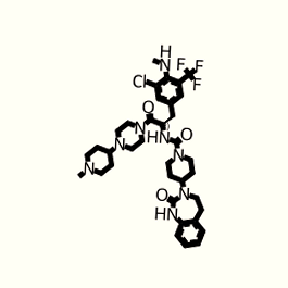 CNc1c(Cl)cc(C[C@@H](NC(=O)N2CCC(N3CCc4ccccc4NC3=O)CC2)C(=O)N2CCN(C3CCN(C)CC3)CC2)cc1C(F)(F)F